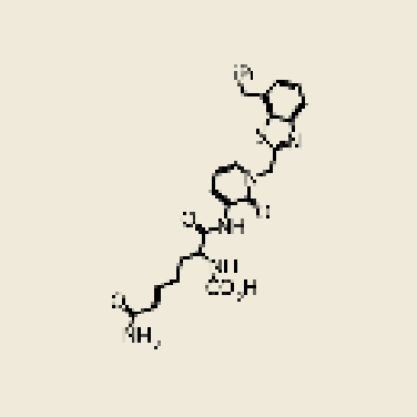 CC(C)Cc1cccc2nc(Cn3cccc(NC(=O)C(CCC=CC(N)=O)NC(=O)O)c3=O)sc12